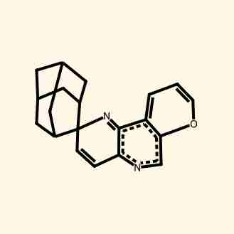 C1=COc2cnc3c(c2=C1)=NC1(C=C3)C2CC3CC(C2)CC1C3